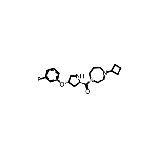 O=C([C@H]1C[C@H](Oc2cccc(F)c2)CN1)N1CCCN(C2CCC2)CC1